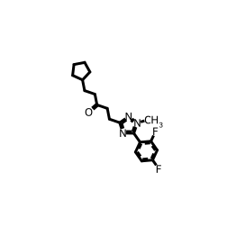 Cn1nc(CCC(=O)CCC2CCCC2)nc1-c1ccc(F)cc1F